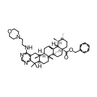 C[C@H]1[C@H](C)CC[C@]2(C(=O)OCc3ccccc3)CC[C@]3(C)C(=CC[C@@H]4[C@@]5(C)Cc6c(NCCN7CCOCC7)ncnc6C(C)(C)[C@@H]5CC[C@]43C)[C@H]12